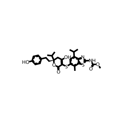 COC(=O)Nc1nc2c(C(C)C)cc(SC3=C(O)C[C@@](CCc4ccc(O)cc4)(C(C)C)OC3=O)c(C)c2s1